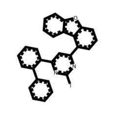 Ic1nc(-c2ccccc2-c2ccccc2)cc(-c2cccc3oc4ccccc4c23)n1